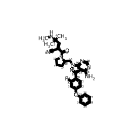 CNC(C)(C)C=C(C#N)C(=O)N1CCCC1Cn1nc(-c2ccc(Oc3ccccc3)cc2F)c2c(N)ncnc21